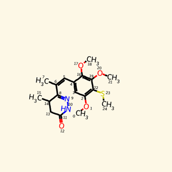 COc1cc(C=C(C)C2=NNC(=O)CC2C)c(OC)c(OC)c1SC